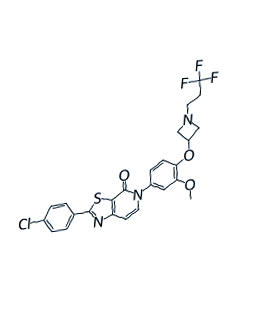 COc1cc(-n2ccc3nc(-c4ccc(Cl)cc4)sc3c2=O)ccc1OC1CN(CCC(F)(F)F)C1